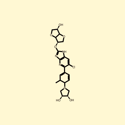 CC1C=C(c2nc3nc(O[C@@H]4COC5C4OC[C@H]5O)[nH]c3cc2Cl)C=CC1N1C[C@@H](O)[C@@H](O)C1